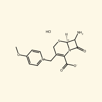 COc1cc[n+](CC2=C(C(=O)[O-])N3C(=O)C(N)[C@@H]3SC2)cc1.Cl